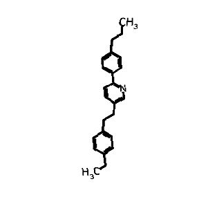 CCCc1ccc(-c2ccc(CCc3ccc(CC)cc3)cn2)cc1